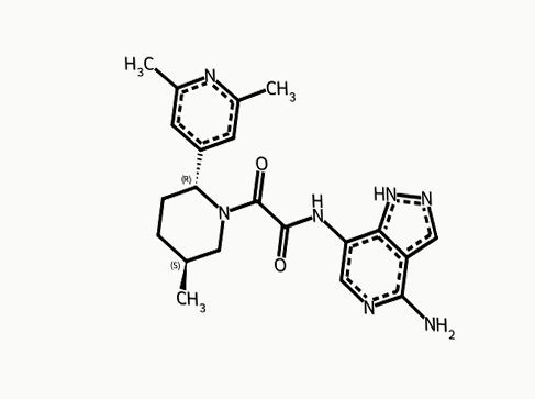 Cc1cc([C@H]2CC[C@H](C)CN2C(=O)C(=O)Nc2cnc(N)c3cn[nH]c23)cc(C)n1